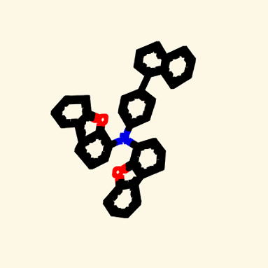 c1ccc2c(-c3ccc(N(c4cccc5c4oc4ccccc45)c4cccc5c4oc4ccccc45)cc3)cccc2c1